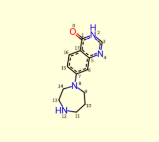 O=c1[nH]cnc2cc(N3CCCNCC3)ccc12